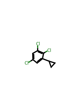 Clc1cc(Cl)c(Cl)c([C]2CC2)c1